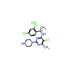 Cc1nc(N2CCNCC2)nc(N[C@H](C)c2ccc(Cl)cc2Cl)c1Cl.Cl